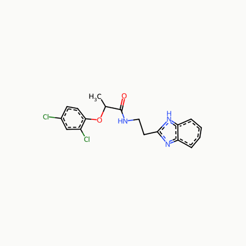 CC(Oc1ccc(Cl)cc1Cl)C(=O)NCCc1nc2ccccc2[nH]1